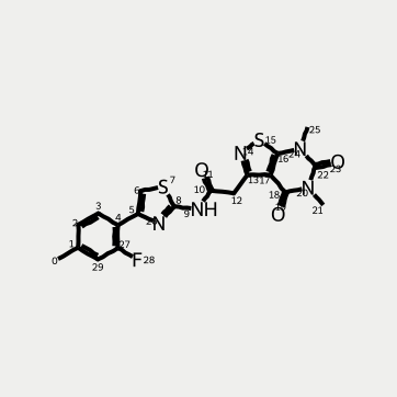 Cc1ccc(-c2csc(NC(=O)Cc3nsc4c3c(=O)n(C)c(=O)n4C)n2)c(F)c1